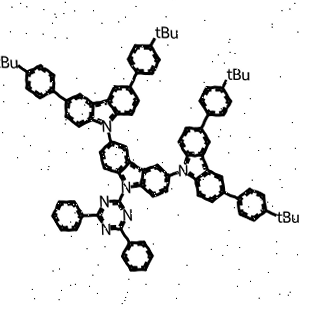 CC(C)(C)c1ccc(-c2ccc3c(c2)c2cc(-c4ccc(C(C)(C)C)cc4)ccc2n3-c2ccc3c(c2)c2cc(-n4c5ccc(-c6ccc(C(C)(C)C)cc6)cc5c5cc(-c6ccc(C(C)(C)C)cc6)ccc54)ccc2n3-c2nc(-c3ccccc3)nc(-c3ccccc3)n2)cc1